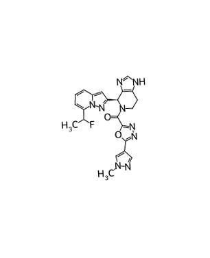 CC(F)c1cccc2cc([C@H]3c4nc[nH]c4CCN3C(=O)c3nnc(-c4cnn(C)c4)o3)nn12